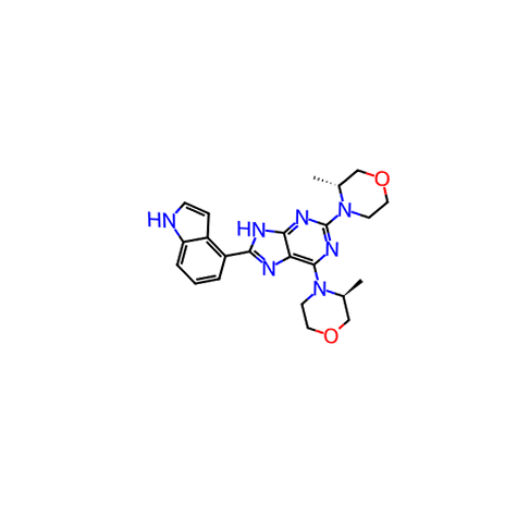 C[C@@H]1COCCN1c1nc(N2CCOC[C@@H]2C)c2nc(-c3cccc4[nH]ccc34)[nH]c2n1